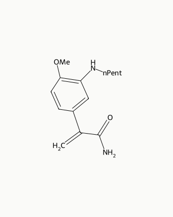 C=C(C(N)=O)c1ccc(OC)c(NCCCCC)c1